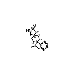 CN(C)[C@]1(c2cnccn2)CC[C@@]2(CC1)CNC(=O)C2